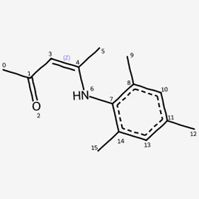 CC(=O)/C=C(/C)Nc1c(C)cc(C)cc1C